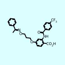 C/C(=N\OCCCOc1ccc(C(=O)O)c(NC(=O)c2ccc(C(F)(F)F)cc2)c1)c1ccccc1